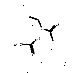 CCC(=O)OC.CCOC(C)=O